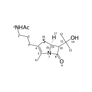 CC(=O)NCCCC1=C(C)N2C(=O)C(C(C)(C)O)[C@@H]2S1